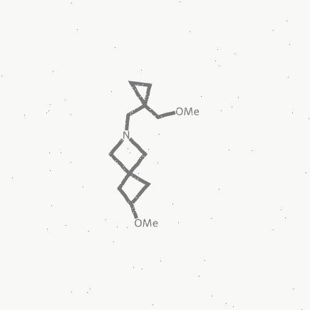 COCC1(CN2CC3(CC(OC)C3)C2)CC1